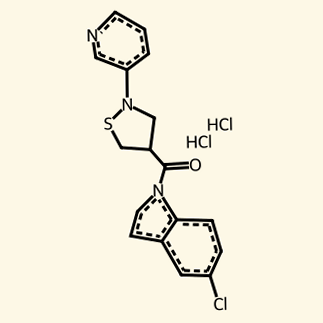 Cl.Cl.O=C(C1CSN(c2cccnc2)C1)n1ccc2cc(Cl)ccc21